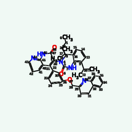 CCCCN(C(=O)Nc1c(C(C)C)cccc1C(C)C)c1c(-c2cccc(OCc3ccc4ccccc4n3)c2)c2cccnc2[nH]c1=O